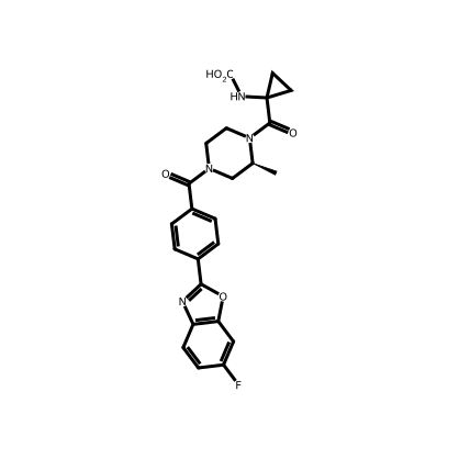 C[C@H]1CN(C(=O)c2ccc(-c3nc4ccc(F)cc4o3)cc2)CCN1C(=O)C1(NC(=O)O)CC1